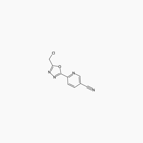 N#Cc1ccc(-c2nnc(CCl)o2)nc1